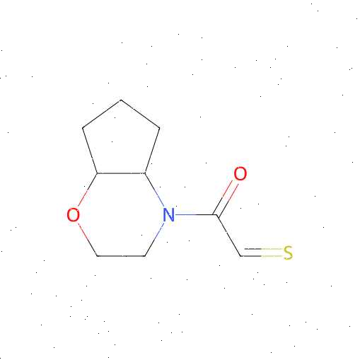 O=C(C=S)N1CCOC2CCCC21